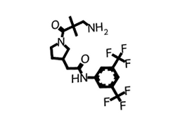 CC(C)(CN)C(=O)N1CCC(CC(=O)Nc2cc(C(F)(F)F)cc(C(F)(F)F)c2)C1